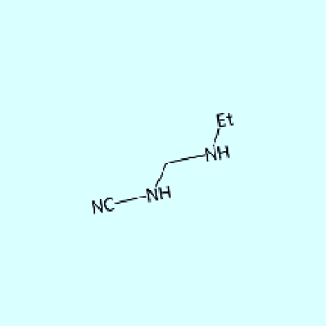 CCNCNC#N